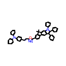 CC1(C)c2cc(-c3nnc(/C=C/c4ccc(N(c5ccccc5)c5ccccc5)cc4)o3)ccc2-c2cc3c(-c4ccccc4)c(-c4ccccc4)n(-c4ccccc4)c3cc21